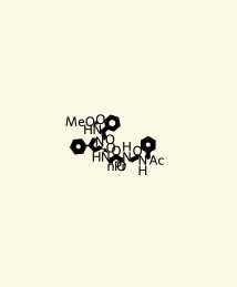 CCCC(NC(=O)[C@@H]1C[C@@H](c2ccccc2)CN1C(=O)[C@@H](NC(=O)OC)C1CCCCC1)C(=O)C(=O)NCC(=O)N[C@H](C(C)=O)c1ccccc1